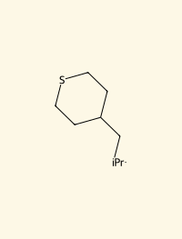 C[C](C)CC1CCSCC1